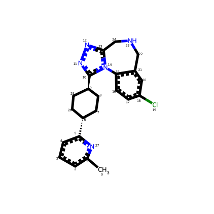 Cc1cccc([C@H]2CC[C@H](c3nnc4n3-c3ccc(Cl)cc3CNC4)CC2)n1